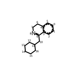 c1ccc2c(c1)CCN=C2CC1CCCCC1